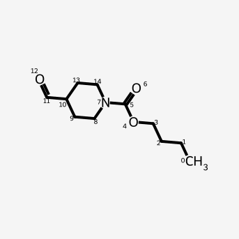 CCCCOC(=O)N1CCC(C=O)CC1